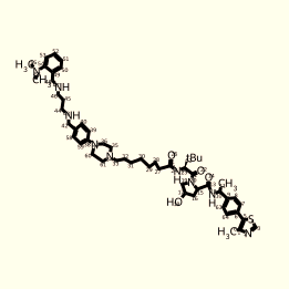 Cc1ncsc1-c1ccc(C(C)NC(=O)C2CC(O)CN2C(=O)[C@@H](NC(=O)CCCCCCCN2CCN(c3ccc(CNCCCNCc4ccccc4N(C)C)cc3)CC2)C(C)(C)C)cc1